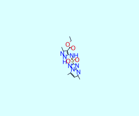 CCOC(=O)c1c(C)n[nH]c1NS(=O)(=O)c1nc2nc(C)cc(C)n2n1